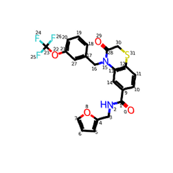 O=C(NCc1ccco1)c1ccc2c(c1)N(Cc1cccc(OC(F)(F)F)c1)C(=O)CS2